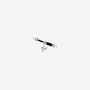 [Cu+].[O]=[Al][O-]